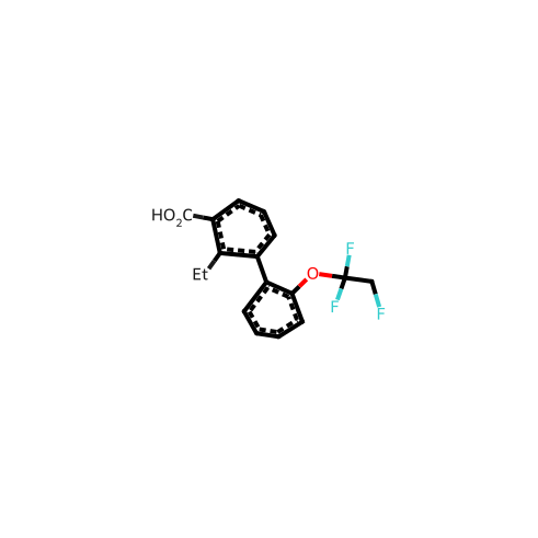 CCc1c(C(=O)O)cccc1-c1ccccc1OC(F)(F)CF